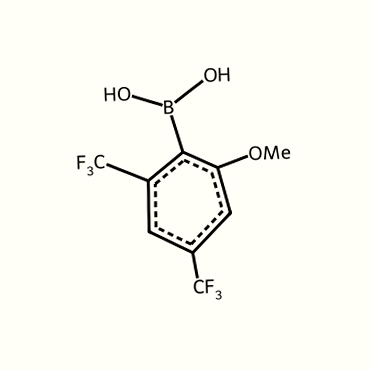 COc1cc(C(F)(F)F)cc(C(F)(F)F)c1B(O)O